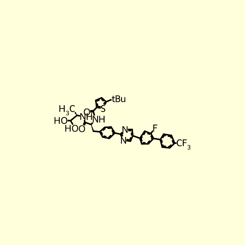 C[C@@H](NC(=O)[C@H](Cc1ccc(-c2ncc(-c3ccc(-c4ccc(C(F)(F)F)cc4)c(F)c3)cn2)cc1)NC(=O)c1ccc(C(C)(C)C)s1)C(O)O